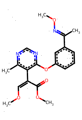 COC=C(C(=O)OC)c1c(C)ncnc1Oc1cccc(C(C)=NOC)c1